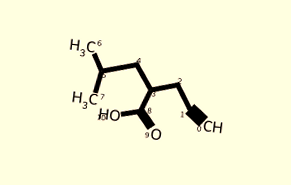 C#CCC(CC(C)C)C(=O)O